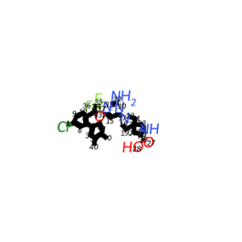 Cc1ccc(-c2cc(Cl)ccc2[C@@H](Oc2cc(N3CCC4(CC3)CN[C@H](C(=O)O)C4)nc(N)n2)C(F)(F)F)cc1C